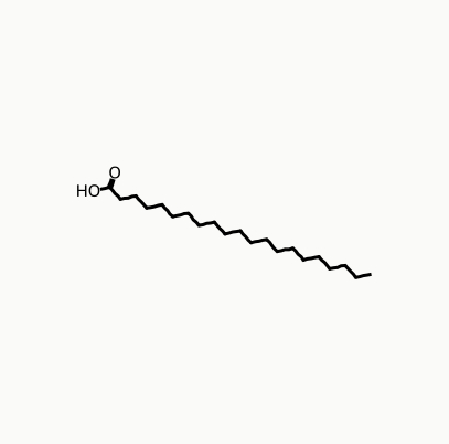 CCCCCCCCCCCCCCCCCCCCC(=O)O